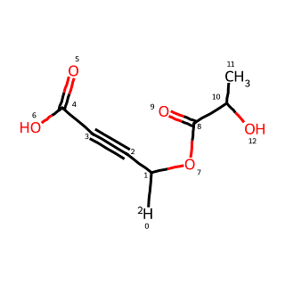 [2H]C(C#CC(=O)O)OC(=O)C(C)O